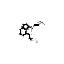 C/C=C/NC1CCc2cccc(CCC)c21